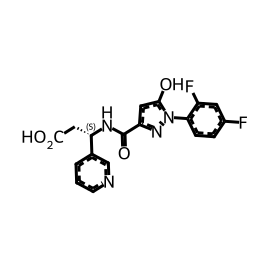 O=C(O)C[C@H](NC(=O)c1cc(O)n(-c2ccc(F)cc2F)n1)c1cccnc1